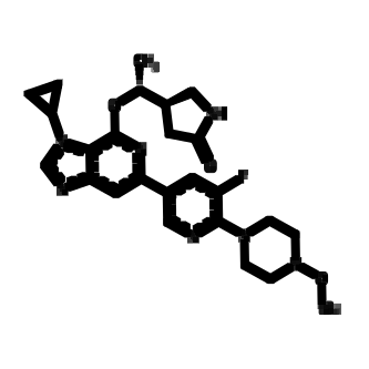 C[C@@H](Oc1nc(-c2cnc(N3CCN(OC(C)(C)C)CC3)c(F)c2)cc2ncn(C3CC3)c12)[C@H]1CNC(=O)C1